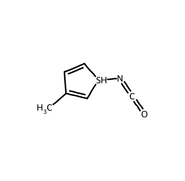 CC1=C[SH](N=C=O)C=C1